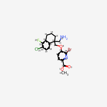 COC(=O)c1ccc(OCC2(CN)CCCc3c2ccc(Cl)c3F)c(Br)n1